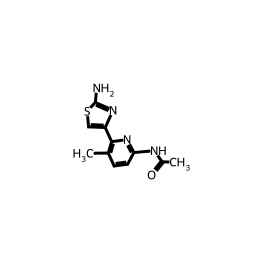 CC(=O)Nc1ccc(C)c(-c2csc(N)n2)n1